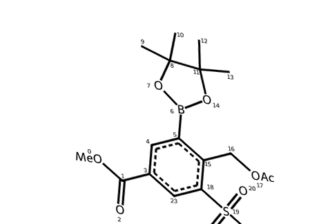 COC(=O)c1cc(B2OC(C)(C)C(C)(C)O2)c(COC(C)=O)c(S(=O)(=O)C(F)(F)F)c1